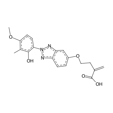 C=C(CCOc1ccc2nn(-c3ccc(OC)c(C)c3O)nc2c1)C(=O)O